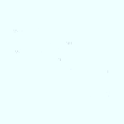 COc1ccc(C(=N)N/C=C/c2ccc(Cl)c(Cl)c2)cc1OC